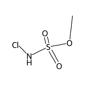 COS(=O)(=O)NCl